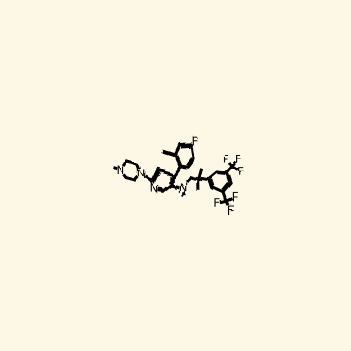 Cc1cc(F)ccc1-c1cc(N2CCN(C)CC2)ncc1N(C)CC(C)(C)c1cc(C(F)(F)F)cc(C(F)(F)F)c1